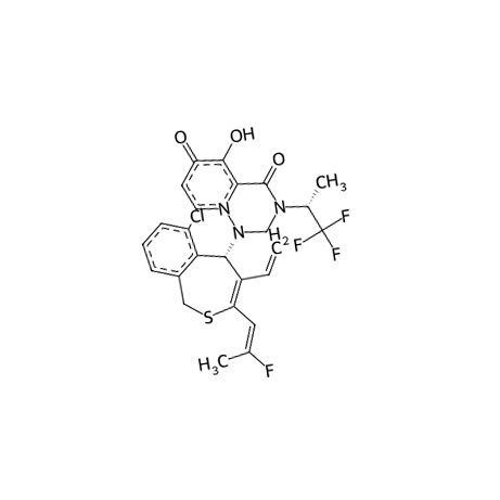 C=CC1=C(/C=C(\C)F)SCc2cccc(Cl)c2[C@@H]1N1CN([C@H](C)C(F)(F)F)C(=O)c2c(O)c(=O)ccn21